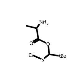 CC(N)C(=O)OC(SCl)C(C)(C)C